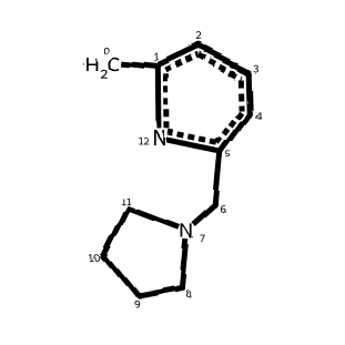 [CH2]c1cccc(CN2CCCC2)n1